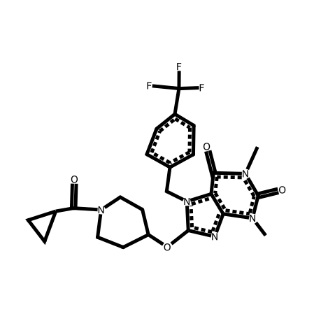 Cn1c(=O)c2c(nc(OC3CCN(C(=O)C4CC4)CC3)n2Cc2ccc(C(F)(F)F)cc2)n(C)c1=O